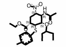 CCOC(=O)[C@@H]1C[C@H]([N+](=O)[O-])[C@@H](NC(C)=O)[C@H](OC(CC)CC)[C@@H]1Sc1ccc(C)cc1